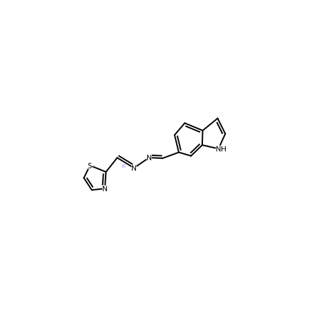 C(=N/N=C/c1nccs1)c1ccc2cc[nH]c2c1